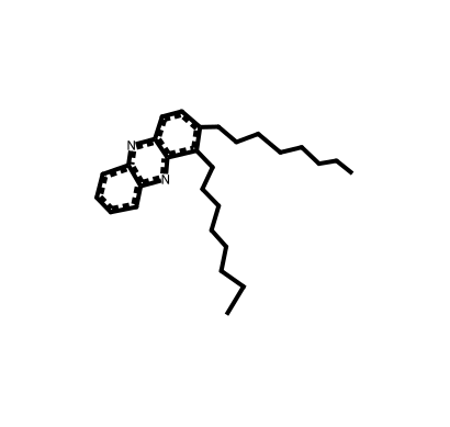 CCCCCCCCc1ccc2nc3ccccc3nc2c1CCCCCCCC